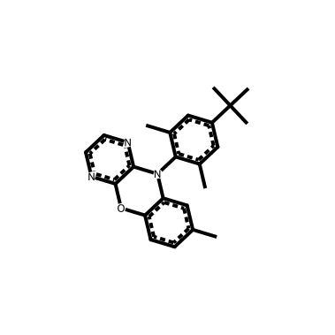 Cc1ccc2c(c1)N(c1c(C)cc(C(C)(C)C)cc1C)c1nccnc1O2